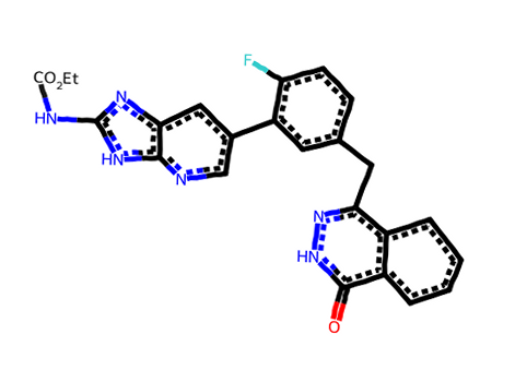 CCOC(=O)Nc1nc2cc(-c3cc(Cc4n[nH]c(=O)c5ccccc45)ccc3F)cnc2[nH]1